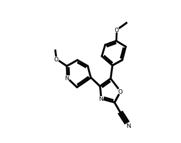 COc1ccc(-c2oc(C#N)nc2-c2ccc(OC)nc2)cc1